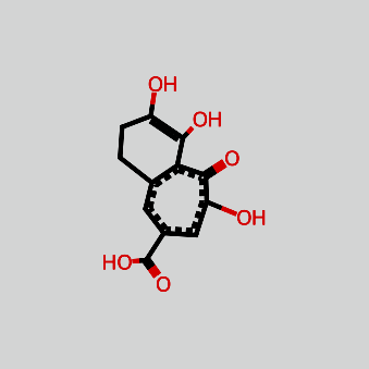 O=C(O)c1cc2c(c(=O)c(O)c1)C(O)=C(O)CC2